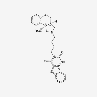 COc1cccc2c1[C@@H]1CN(CCCCn3c(=O)[nH]c4c(sc5ccccc54)c3=O)C[C@@H]1CO2